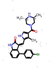 Cc1c(C(=O)N2C[C@H](C)N[C@@H](C)C2)c[nH]c1/C=C1\C(=O)Nc2cccc(-c3ccc(Br)cc3)c21